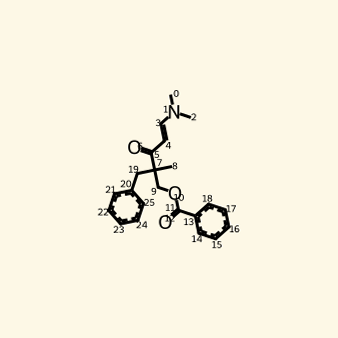 CN(C)C=CC(=O)C(C)(COC(=O)c1ccccc1)Cc1ccccc1